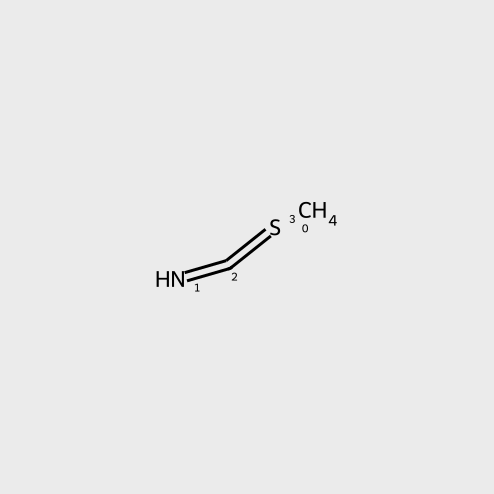 C.N=C=S